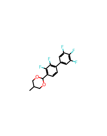 CC1COC(c2ccc(-c3cc(F)c(F)c(F)c3)c(F)c2F)OC1